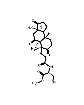 COC(=O)[C@H](CO)NC(=O)CC[C@@]1(C)C(=O)CC[C@@H]2[C@@H]1C(=O)C[C@]1(C)C(=O)CC[C@@H]21